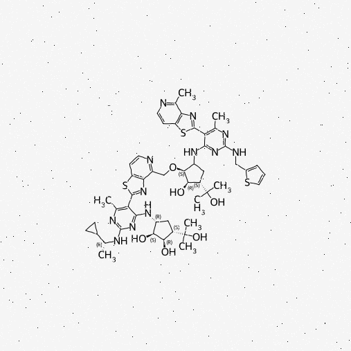 Cc1nc(NCc2cccs2)nc(NC2C[C@H](C(C)(C)O)[C@@H](O)[C@H]2OCc2nccc3sc(-c4c(C)nc(N[C@H](C)C5CC5)nc4N[C@@H]4C[C@H](C(C)(C)O)[C@@H](O)[C@H]4O)nc23)c1-c1nc2c(C)nccc2s1